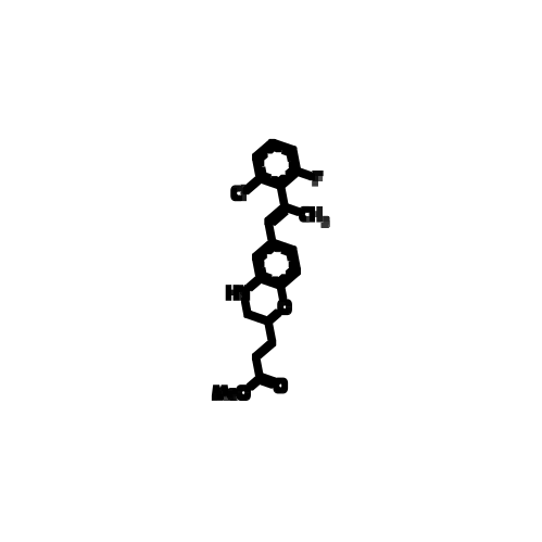 COC(=O)CCC1CNc2cc(/C=C(\C)c3c(F)cccc3Cl)ccc2O1